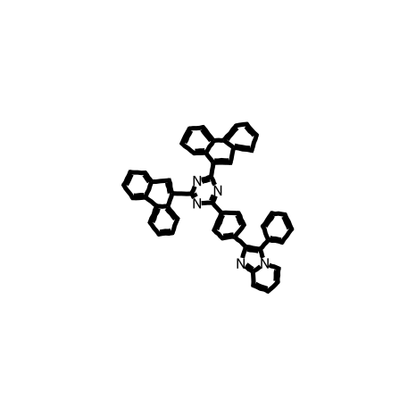 c1ccc(-c2c(-c3ccc(-c4nc(-c5cc6ccccc6c6ccccc56)nc(-c5cc6ccccc6c6ccccc56)n4)cc3)nc3ccccn23)cc1